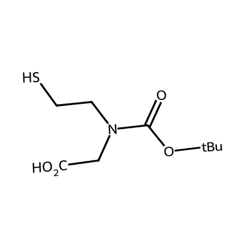 CC(C)(C)OC(=O)N(CCS)CC(=O)O